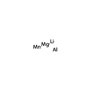 [Al].[Li].[Mg].[Mn]